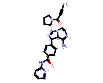 CC#CC(=O)N1CCC[C@H]1C1=NC(c2ccc(C(=O)Nc3ccccn3)cc2)C2C(N)=NC=CN12